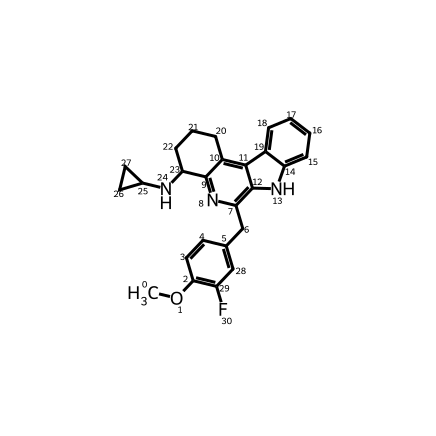 COc1ccc(Cc2nc3c(c4c2[nH]c2ccccc24)CCCC3NC2CC2)cc1F